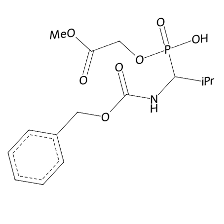 COC(=O)COP(=O)(O)C(NC(=O)OCc1ccccc1)C(C)C